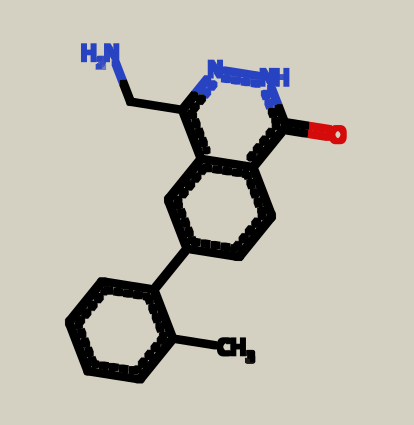 Cc1ccccc1-c1ccc2c(=O)[nH]nc(CN)c2c1